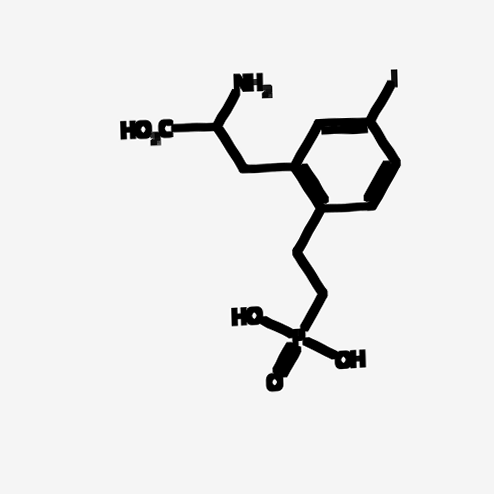 NC(Cc1cc(I)ccc1CCP(=O)(O)O)C(=O)O